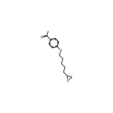 CC(=O)c1ccc(OCCCCCC2CO2)cc1